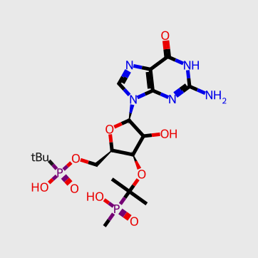 CC(C)(O[C@@H]1C(O)[C@H](n2cnc3c(=O)[nH]c(N)nc32)O[C@@H]1COP(=O)(O)C(C)(C)C)P(C)(=O)O